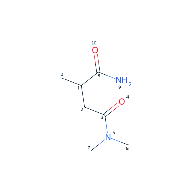 CC([CH]C(=O)N(C)C)C(N)=O